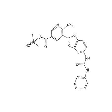 C[SH](C)(O)=NC(=O)c1cnc(N)c(-c2cc3cc(NC(=O)Nc4ccccc4)ccc3s2)c1